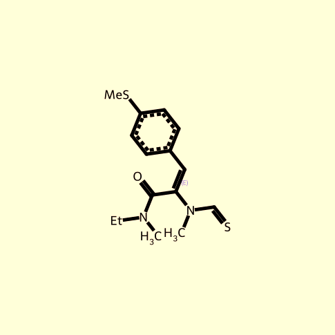 CCN(C)C(=O)/C(=C\c1ccc(SC)cc1)N(C)C=S